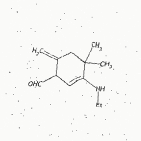 C=C1CC(C)(C)C(NCC)=CC1C=O